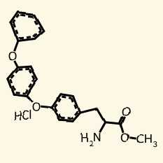 COC(=O)C(N)Cc1ccc(Oc2ccc(Oc3ccccc3)cc2)cc1.Cl